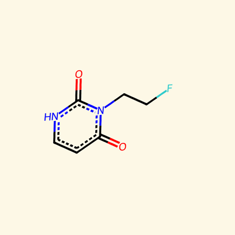 O=c1cc[nH]c(=O)n1CCF